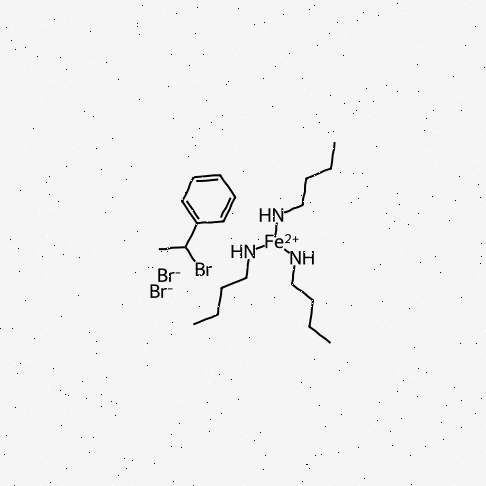 CC(Br)c1ccccc1.CCCC[NH][Fe+2]([NH]CCCC)[NH]CCCC.[Br-].[Br-]